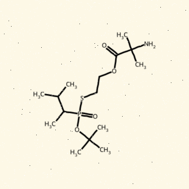 CC(C)C(C)P(=O)(OC(C)(C)C)SCCOC(=O)C(C)(C)N